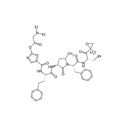 CCN(CC)CC(=O)Oc1ncc(C(=O)N[C@@H](CCc2ccccc2)C(=O)N[C@H]2CC(C)N([C@@H](Cc3ccccc3)C(=O)N[C@@H](CC(C)C)C(=O)C3(C)CO3)C2=O)s1